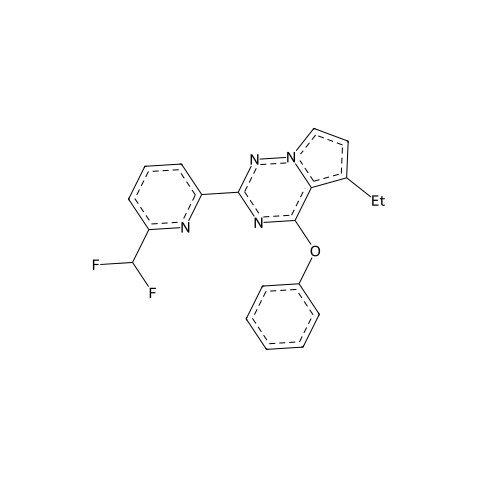 CCc1ccn2nc(-c3cccc(C(F)F)n3)nc(Oc3ccccc3)c12